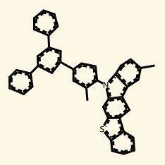 Cc1ccc2c(c1)c1cc3c(cc1n2-c1ccc(-c2cc(-c4ccccc4)cc(-c4ccccc4)c2)cc1C)sc1ccccc13